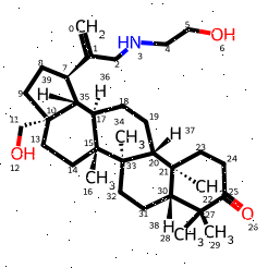 C=C(CNCCO)[C@@H]1CC[C@]2(CO)CC[C@]3(C)[C@H](CC[C@@H]4[C@@]5(C)CCC(=O)C(C)(C)[C@@H]5CC[C@]43C)[C@@H]12